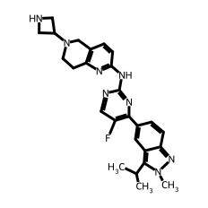 CC(C)c1c2cc(-c3nc(Nc4ccc5c(n4)CCN(C4CNC4)C5)ncc3F)ccc2nn1C